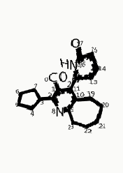 O=C(O)c1c(C2CCCC2)nc2c(c1-c1cccc(=O)[nH]1)CCCCC2